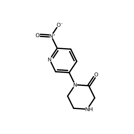 O=C1CNCCN1c1ccc([N+](=O)[O-])nc1